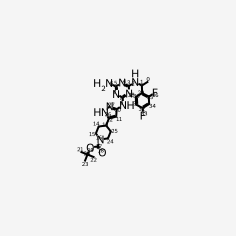 CC(Nc1nc(N)nc(Nc2cc(C3CCN(C(=O)OC(C)(C)C)CC3)[nH]n2)n1)c1ccc(F)cc1F